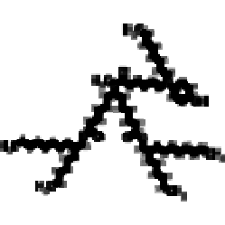 CCCCCCCCC(CCCCCC)COC(=O)CCCCCC(CCCCCC(=O)OCC(CCCCCC)CCCCCCCC)N(C)C(=O)CCCCCN(CCCCCCCC)C1CCC(O)CC1